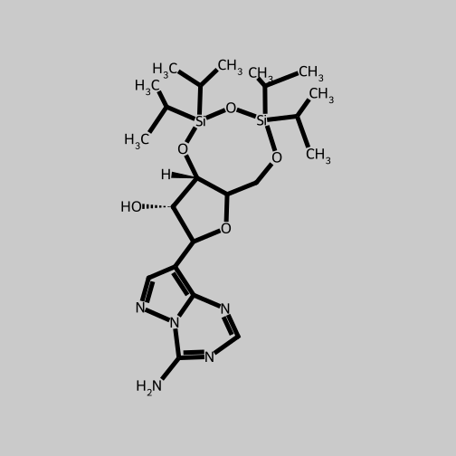 CC(C)[Si]1(C(C)C)OCC2OC(c3cnn4c(N)ncnc34)[C@H](O)[C@@H]2O[Si](C(C)C)(C(C)C)O1